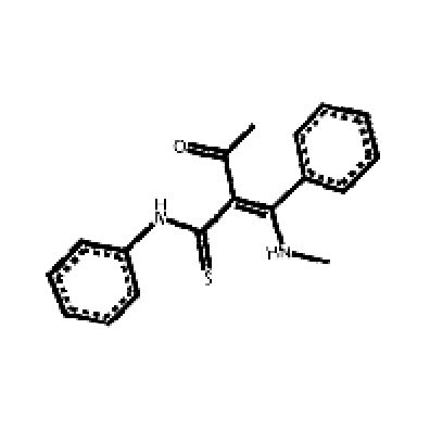 CNC(=C(C(C)=O)C(=S)Nc1ccccc1)c1ccccc1